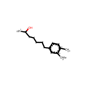 CCCC(O)CCCCCc1ccc(C)c(OC)c1